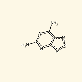 Nc1nc(N)c2nsnc2n1